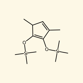 CC1=CC(C)C(O[Si](C)(C)C)=C1O[Si](C)(C)C